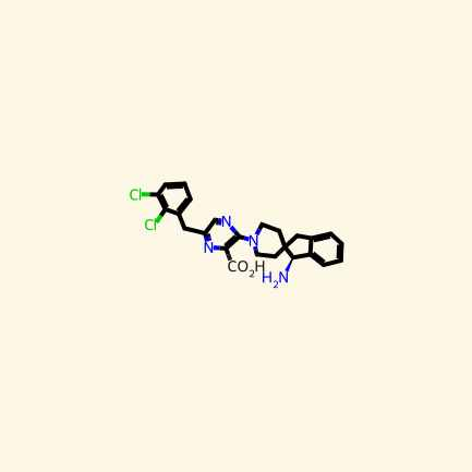 N[C@@H]1c2ccccc2CC12CCN(c1ncc(Cc3cccc(Cl)c3Cl)nc1C(=O)O)CC2